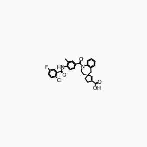 Cc1cc(C(=O)N2CC[C@]3(C=C(C(=O)O)CC3)Cc3ccccc32)ccc1NC(=O)c1cc(F)ccc1Cl